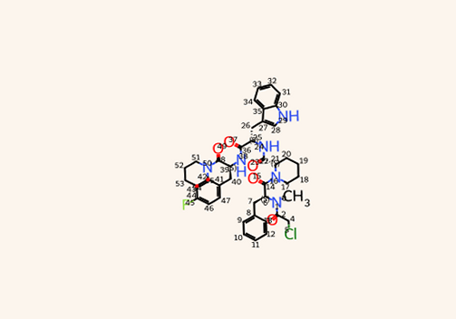 CN(C(=O)CCl)[C@@H](Cc1ccccc1)C(=O)N1CCCC[C@H]1C(=O)N[C@@H](Cc1c[nH]c2ccccc12)C(=O)N[C@@H](Cc1ccc(F)cc1)C(=O)N1CCCCC1